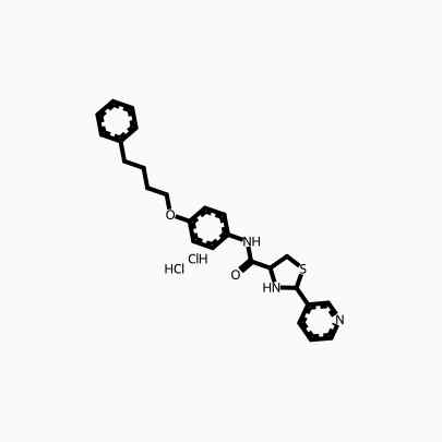 Cl.Cl.O=C(Nc1ccc(OCCCCc2ccccc2)cc1)C1CSC(c2cccnc2)N1